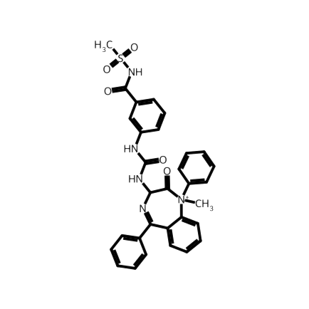 C[N+]1(c2ccccc2)C(=O)C(NC(=O)Nc2cccc(C(=O)NS(C)(=O)=O)c2)N=C(c2ccccc2)c2ccccc21